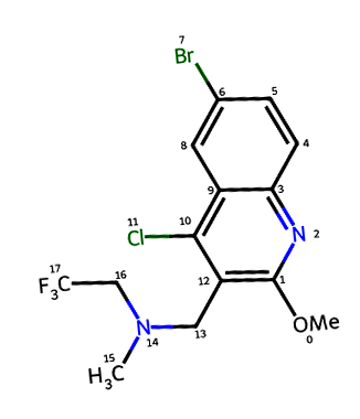 COc1nc2ccc(Br)cc2c(Cl)c1CN(C)CC(F)(F)F